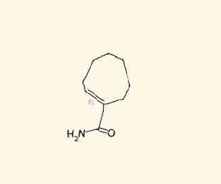 NC(=O)/C1=C/CCCCCC1